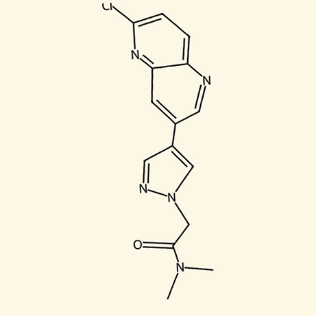 CN(C)C(=O)Cn1cc(-c2cnc3ccc(Cl)nc3c2)cn1